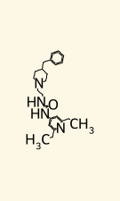 CCc1cc(NC(=O)NCCN2CCC(Cc3ccccc3)CC2)cc(CC)n1